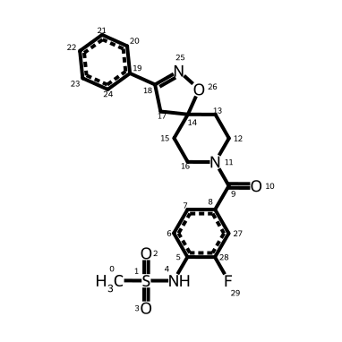 CS(=O)(=O)Nc1ccc(C(=O)N2CCC3(CC2)CC(c2ccccc2)=NO3)cc1F